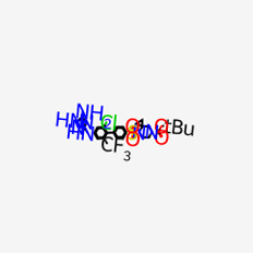 CC(C)(C)OC(=O)N1CCN(S(=O)(=O)c2ccc(-c3c(Cl)cc(Nc4n[nH]c(N)n4)cc3C(F)(F)F)cc2)C2(CC2)C1